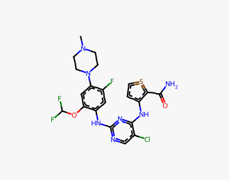 CN1CCN(c2cc(OC(F)F)c(Nc3ncc(Cl)c(Nc4ccsc4C(N)=O)n3)cc2F)CC1